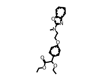 CCOC(=O)C(OCC)c1ccc(OCCN(C)c2nc3ccccc3o2)cc1